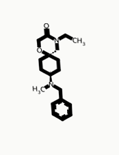 CCN1C[C@]2(CC[C@H](N(C)Cc3ccccc3)CC2)OCC1=O